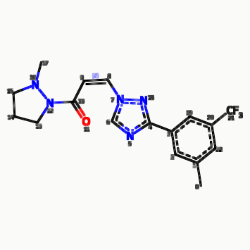 Cc1cc(-c2ncn(/C=C\C(=O)N3CCCN3C)n2)cc(C(F)(F)F)c1